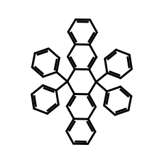 c1ccc(C2(c3ccccc3)c3cc4ccccc4cc3C(c3ccccc3)(c3ccccc3)c3cc4ccccc4cc32)cc1